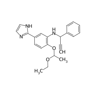 C#CC(Nc1cc(-c2ncc[nH]2)ccc1OC(C)OCC)c1ccccc1